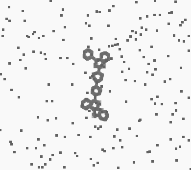 c1ccc(-c2nc(-c3ccc(-c4ccc(-c5nc6c(nc7ccccn76)c6ccccc56)cc4)cc3)nc3ccccc23)cc1